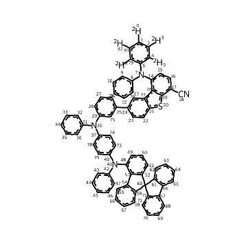 [2H]c1c([2H])c([2H])c(N(c2ccccc2)c2ccc(C#N)c3sc4ccc(-c5cccc(N(c6ccccc6)c6ccc(N(c7ccccc7)c7cccc8c7-c7ccccc7C87c8ccccc8-c8ccccc87)cc6)c5)cc4c23)c([2H])c1[2H]